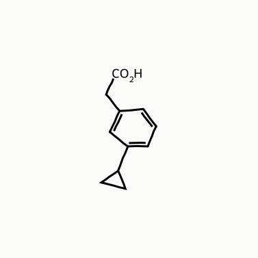 O=C(O)Cc1cccc(C2CC2)c1